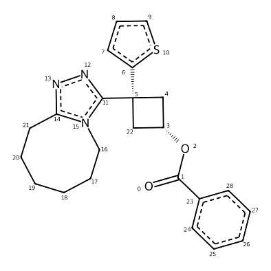 O=C(O[C@H]1C[C@](c2cccs2)(c2nnc3n2CCCCCC3)C1)c1ccccc1